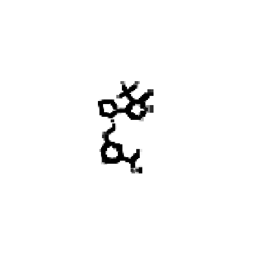 O=C(O)c1cncc(OC[C@@H]2CCCN2c2cn[nH]c(=O)c2C(F)(F)F)c1